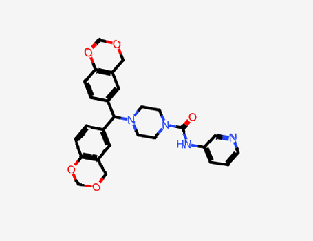 O=C(Nc1cccnc1)N1CCN(C(c2ccc3c(c2)COCO3)c2ccc3c(c2)COCO3)CC1